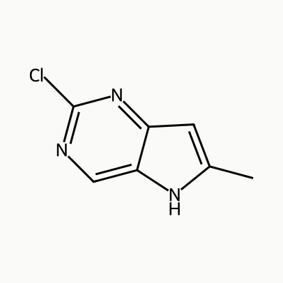 Cc1cc2nc(Cl)ncc2[nH]1